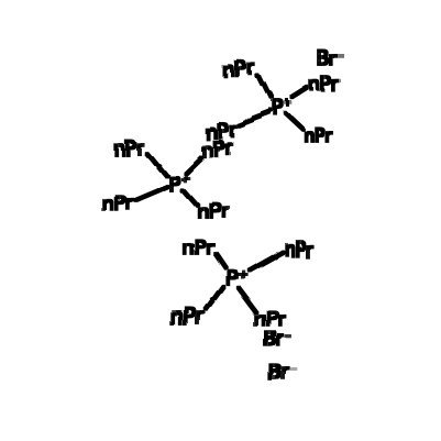 CCC[P+](CCC)(CCC)CCC.CCC[P+](CCC)(CCC)CCC.CCC[P+](CCC)(CCC)CCC.[Br-].[Br-].[Br-]